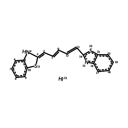 C(=CC=C1Nc2ccccc2S1)C=Cc1nc2ccccc2s1.I